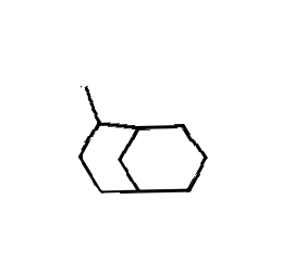 [CH2]C1CCC2CCCC1C2